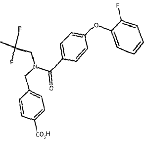 CC(F)(F)CN(Cc1ccc(C(=O)O)cc1)C(=O)c1ccc(Oc2ccccc2F)cc1